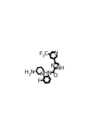 N[C@@H]1CCCN(c2c(F)cccc2NC(=O)c2nc(-c3cncc(C(F)(F)F)c3)c[nH]2)C1